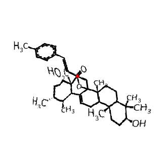 Cc1ccc(/C=C/C(=O)OC23CC[C@@]4(C(=O)O)CC[C@@H](C)[C@H](C)C4C2=CCC2[C@@]4(C)CC[C@H](O)C(C)(C)C4CC[C@]23C)cc1